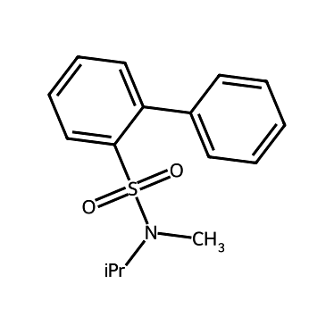 CC(C)N(C)S(=O)(=O)c1ccccc1-c1ccccc1